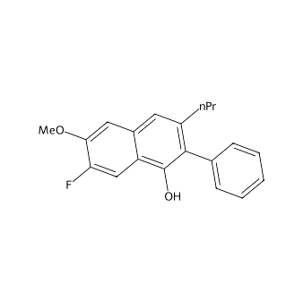 CCCc1cc2cc(OC)c(F)cc2c(O)c1-c1ccccc1